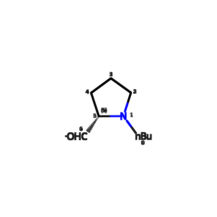 CCCCN1CCC[C@H]1[C]=O